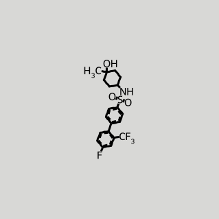 CC1(O)CCC(NS(=O)(=O)c2ccc(-c3ccc(F)cc3C(F)(F)F)cc2)CC1